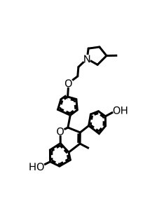 CC1=C(c2ccc(O)cc2)C(c2ccc(OCCN3CCC(C)C3)cc2)Oc2cc(O)ccc21